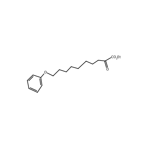 CCOC(=O)C(=O)CCCCCCCCOc1ccccc1